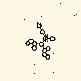 c1ccc(-c2nc(-c3ccc(-c4ccncc4)cc3)cc(-c3cc(-c4cc5ccc6ccccc6c5c5ccccc45)cc(-c4cc5ccc6ccccc6c5c5ccccc45)c3)n2)cc1